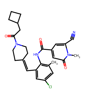 Cc1cc(Cl)cc(C=C2CCN(C(=O)CC3CCC3)CC2)c1NC(=O)c1cc(C#N)n(C)c(=O)c1